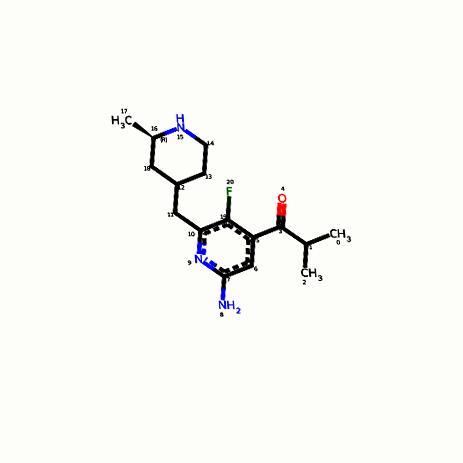 CC(C)C(=O)c1cc(N)nc(CC2CCN[C@H](C)C2)c1F